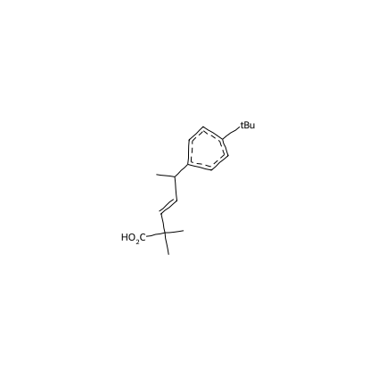 CC(C=CC(C)(C)C(=O)O)c1ccc(C(C)(C)C)cc1